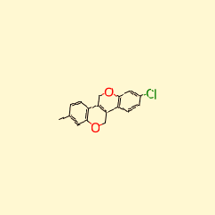 Cc1ccc2c(c1)OCC1=C2COc2cc(Cl)ccc21